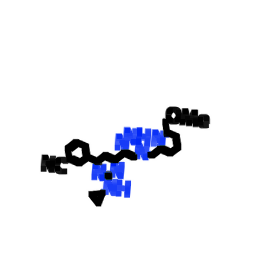 COCc1cccc(CN/C=C(\N=N)c2cc(-c3cccc(C#N)c3)nc(NC3CC3)n2)n1